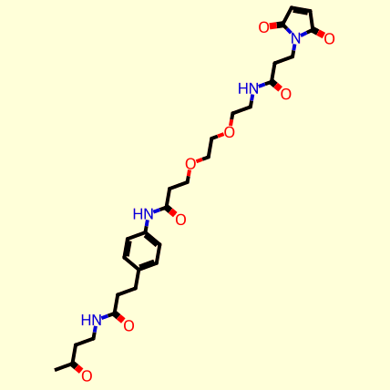 CC(=O)CCNC(=O)CCc1ccc(NC(=O)CCOCCOCCNC(=O)CCN2C(=O)C=CC2=O)cc1